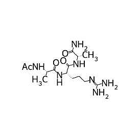 CC(=O)N[C@@H](C)C(=O)N[C@@H](CCCN=C(N)N)C(=O)N[C@@H](C)C(N)=O